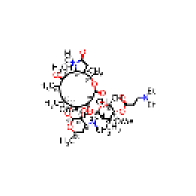 CC[C@H]1OC(=O)[C@H](C)[C@@H](O[C@H]2C[C@@](C)(OC)[C@@H](OC(=O)CCN(CC)CC)[C@H](C)O2)[C@H](C)[C@@H](O[C@@H]2O[C@H](C)C[C@H](N(C)C)[C@H]2O)[C@](C)(OC)C[C@@H](C)C(=O)[C@H](C)[C@H]2N(C)C(=O)C[C@]12C